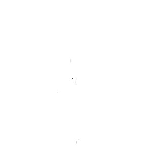 CC1(C)CC(=O)CC(C)(C)N1OC1=CCCCC1